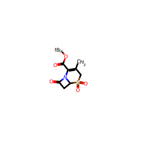 CC1=C(C(=O)OC(C)(C)C)N2C(=O)CC2S(=O)(=O)C1